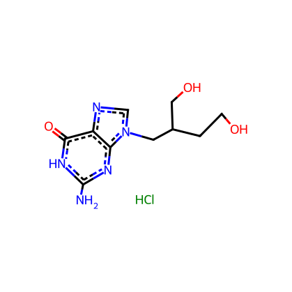 Cl.Nc1nc2c(ncn2CC(CO)CCO)c(=O)[nH]1